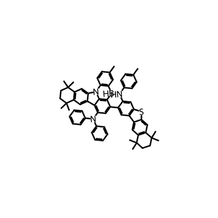 Cc1ccc(Nc2cc3sc4cc5c(cc4c3cc2-c2cc(N(c3ccccc3)c3ccccc3)c3c4cc6c(cc4n4c3c2Bc2cc(C)ccc2-4)C(C)(C)CCC6(C)C)C(C)(C)CCC5(C)C)cc1